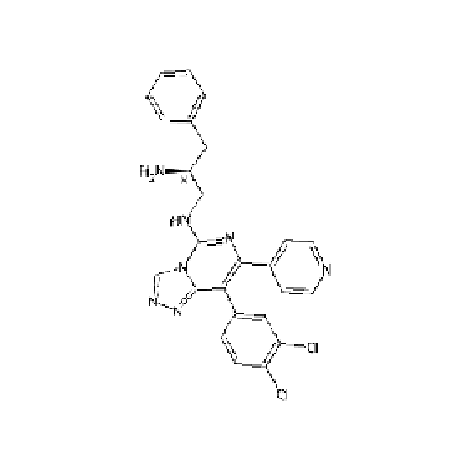 N[C@H](CNc1nc(-c2ccncc2)c(-c2ccc(Cl)c(Cl)c2)c2nncn12)Cc1ccccc1